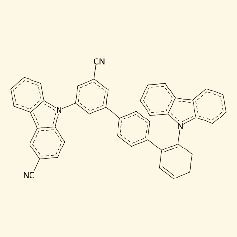 N#Cc1cc(-c2ccc(C3=C(n4c5ccccc5c5ccccc54)CCC=C3)cc2)cc(-n2c3ccccc3c3cc(C#N)ccc32)c1